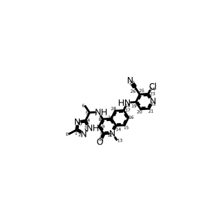 Cc1n[nH]c(C(C)Nc2cc(=O)n(C)c3ccc(Nc4ccnc(Cl)c4C#N)cc23)n1